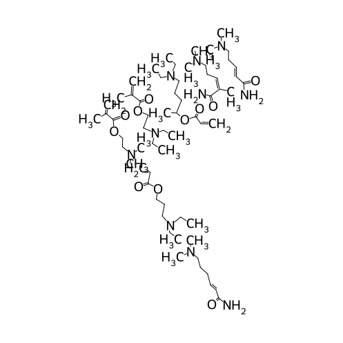 C=C(C)C(=O)OCCN(C)C.C=C(C)C(=O)OCCN(CC)CC.C=CC(=O)OC(C)CCCN(CC)CC.C=CC(=O)OCCCN(CC)CC.CC(=CCCN(C)C)C(N)=O.CN(C)CCC=CC(N)=O.CN(C)CCCC=CC(N)=O